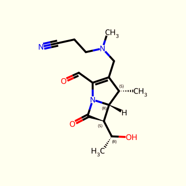 C[C@@H](O)[C@H]1C(=O)N2C(C=O)=C(CN(C)CCC#N)[C@H](C)[C@H]12